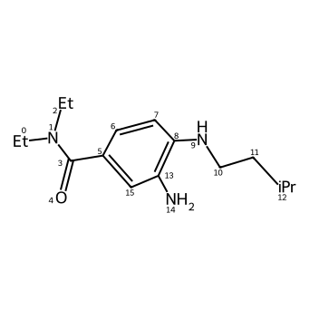 CCN(CC)C(=O)c1ccc(NCCC(C)C)c(N)c1